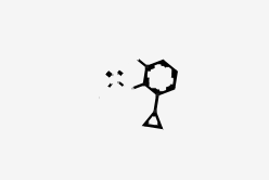 O=C(O)c1cccc(C2CC2)c1OS(=O)(=O)C(F)(F)F